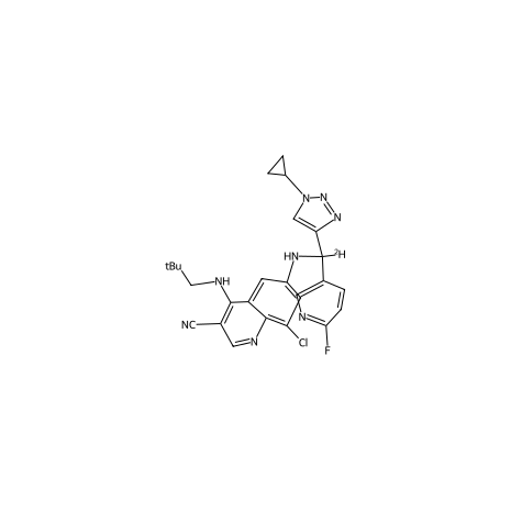 [2H]C(Nc1cc(Cl)c2ncc(C#N)c(NCC(C)(C)C)c2c1)(c1ccc(F)nc1)c1cn(C2CC2)nn1